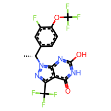 C[C@H](c1ccc(OC(F)(F)F)c(F)c1)n1nc(C(F)(F)F)c2c(=O)[nH]c(O)nc21